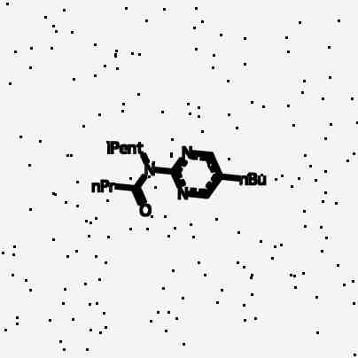 CCCCc1cnc(N(C(=O)CCC)C(C)CCC)nc1